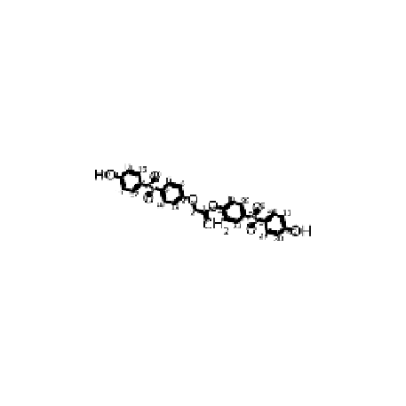 C=C(COc1ccc(S(=O)(=O)c2ccc(O)cc2)cc1)Oc1ccc(S(=O)(=O)c2ccc(O)cc2)cc1